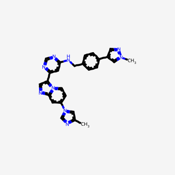 Cc1cn(-c2ccn3c(-c4cc(NCc5ccc(-c6cnn(C)c6)cc5)ncn4)cnc3c2)cn1